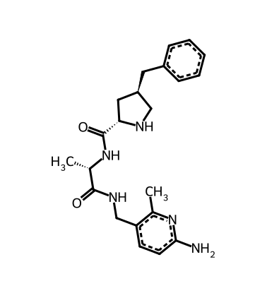 Cc1nc(N)ccc1CNC(=O)[C@H](C)NC(=O)[C@@H]1C[C@@H](Cc2ccccc2)CN1